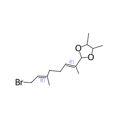 C/C(=C\CBr)CC/C=C(\C)C1OC(C)C(C)O1